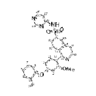 COc1cc(Oc2ccccc2F)ccc1-c1nccc2cc(S(=O)(=O)Nc3ccncn3)ccc12